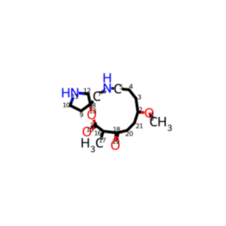 COC1CCCNCC2(CCNC2)OC(=O)C(C)C(=O)CC1